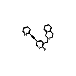 Fc1ncc(C#Cc2ccccn2)cc1CN1CCc2ccccc2C1